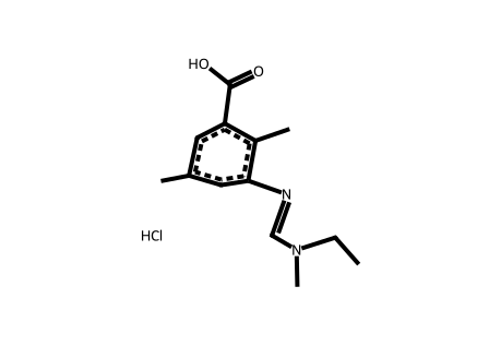 CCN(C)C=Nc1cc(C)cc(C(=O)O)c1C.Cl